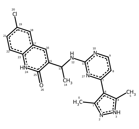 Cc1n[nH]c(C)c1-c1ccnc(NC(C)c2cc3cc(Cl)ccc3[nH]c2=O)n1